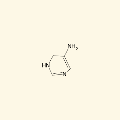 NC1=CN=CNC1